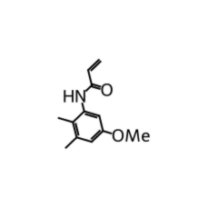 C=CC(=O)Nc1cc(OC)cc(C)c1C